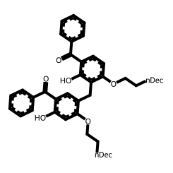 CCCCCCCCCCCCOc1cc(O)c(C(=O)c2ccccc2)cc1Cc1c(OCCCCCCCCCCCC)ccc(C(=O)c2ccccc2)c1O